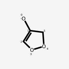 [O]C1=COOC1